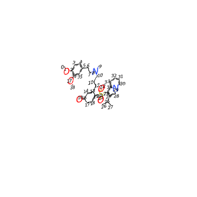 COc1ccc(CCN(C)CCCC2=CC(=O)CC=C2S(=O)(=O)c2c(C(C)C)cn3ccccc23)cc1OC